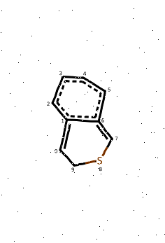 [C]1=c2ccccc2=CSC1